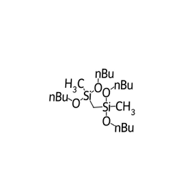 CCCCO[Si](C)(C[Si](C)(OCCCC)OCCCC)OCCCC